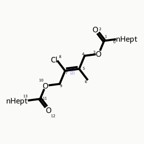 CCCCCCCC(=O)OC/C(C)=C(\Cl)COC(=O)CCCCCCC